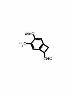 COc1cc2c(cc1C)C(C=O)C2